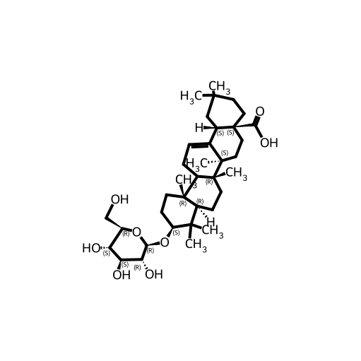 CC1(C)CC[C@]2(C(=O)O)CC[C@]3(C)C(=CCC4[C@@]5(C)CC[C@H](O[C@@H]6O[C@H](CO)[C@@H](O)[C@H](O)[C@H]6O)C(C)(C)[C@@H]5CC[C@]43C)[C@@H]2C1